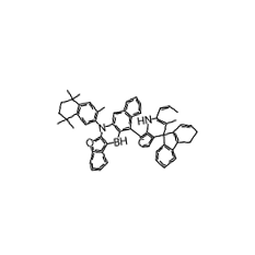 C/C=C\C1=C(C)C2(C3=C(CCC=C3)c3ccccc32)c2cccc(-c3c4c(cc5ccccc35)N(c3cc5c(cc3C)C(C)(C)CCC5(C)C)c3oc5ccccc5c3B4)c2N1